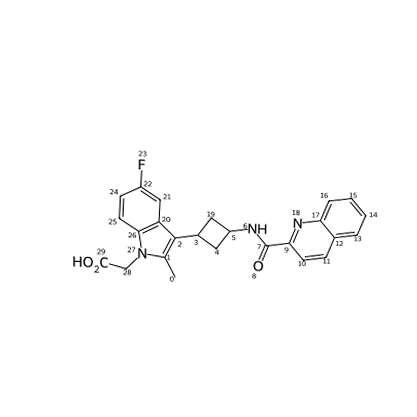 Cc1c(C2CC(NC(=O)c3ccc4ccccc4n3)C2)c2cc(F)ccc2n1CC(=O)O